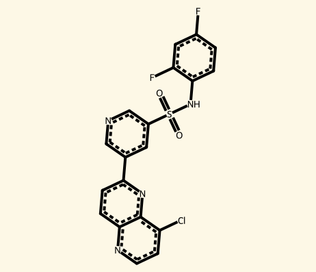 O=S(=O)(Nc1ccc(F)cc1F)c1cncc(-c2ccc3nccc(Cl)c3n2)c1